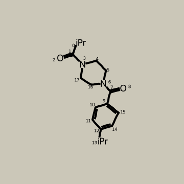 CC(C)C(=O)N1CCN(C(=O)c2ccc(C(C)C)cc2)CC1